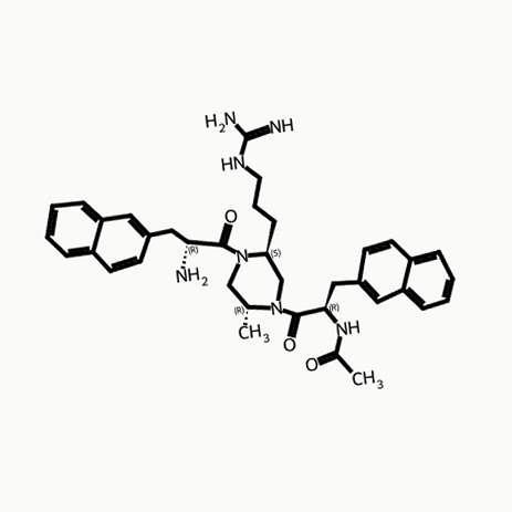 CC(=O)N[C@H](Cc1ccc2ccccc2c1)C(=O)N1C[C@H](CCCNC(=N)N)N(C(=O)[C@H](N)Cc2ccc3ccccc3c2)C[C@H]1C